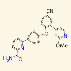 COc1cc(-c2cc(C#N)ccc2Oc2ccc(-c3cccc(C(N)=O)n3)cc2)ccn1